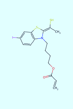 C=CC(=O)OCCCCN1/C(=C(\C)S)Sc2cc(I)ccc21